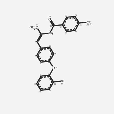 O=C(O)C(=Cc1ccc(Oc2ccccc2Br)cc1)NC(=O)c1ccc(C(F)(F)F)cc1